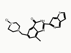 Cc1cc(CN2CC[S+]([O-])CC2)cc2c(=O)[nH]c(-c3cc4sccc4cn3)nc12